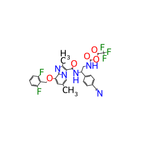 Cc1cc(OCc2c(F)cccc2F)c2nc(C)c(C(=O)NC(CNC(=O)OC(=O)C(F)(F)F)c3ccc(C#N)cc3)n2c1